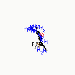 C[C@H](N)CCCc1cc(SC(F)(F)F)cc(-c2cc3cn(-c4ccc([C@@H](CCN)NCCCNC(=N)N)cc4)c(=O)nc3[nH]2)c1